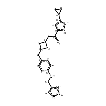 O=C(CC1CN(Cc2ccc(OCc3nncs3)cc2)C1)c1cn(C2CC2)nn1